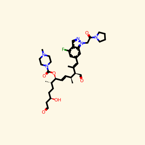 C/C(=C\c1cc(F)c2cnn(CC(=O)N3CCCC3)c2c1)[C@@H](C=O)[C@@H](C)/C=C/[C@H](OC(=O)N1CCN(C)CC1)[C@@H](C)CC[C@@H](O)CC=O